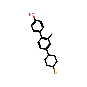 Cc1cc(C2CCC(Br)CC2)ccc1-c1ccc(O)cc1